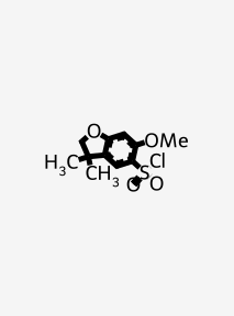 COc1cc2c(cc1S(=O)(=O)Cl)C(C)(C)CO2